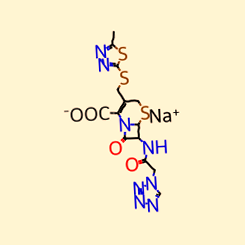 Cc1nnc(SCC2=C(C(=O)[O-])N3C(=O)C(NC(=O)Cn4cnnn4)C3SC2)s1.[Na+]